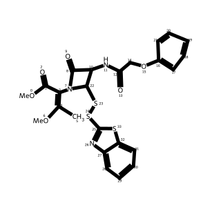 COC(=O)C(=C(C)OC)N1C(=O)C(NC(=O)COc2ccccc2)C1SSc1nc2ccccc2s1